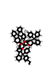 C=Cc1ccc(C2(c3ccc(C)cc3)c3ccccc3-c3ccc(N(c4ccc5c(c4)C4(c6ccccc6-5)c5ccccc5-c5ccc(N(c6ccc7c(c6)C(c6ccc(C)cc6)(c6ccc(CC)cc6)c6ccccc6-7)c6ccccc6F)cc54)c4ccccc4F)cc32)cc1